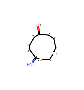 N=C1CCCCCCC(=O)CCC1